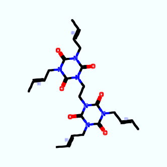 C/C=C/Cn1c(=O)n(C/C=C/C)c(=O)n(CCn2c(=O)n(C/C=C/C)c(=O)n(C/C=C/C)c2=O)c1=O